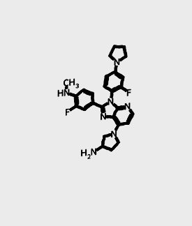 CNc1ccc(-c2nc3c(N4CCC(N)C4)ccnc3n2-c2ccc(N3CCCC3)cc2F)cc1F